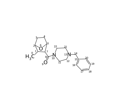 CC1C2CCC(O2)C1C(=O)N1CCN(Cc2ccccc2)CC1